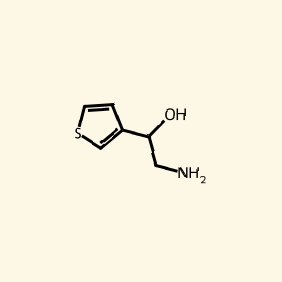 NCC(O)c1ccsc1